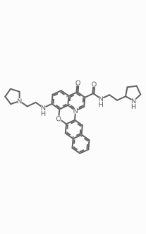 O=C(NCCC1CCCN1)c1cn2c3c(c(NCCN4CCCC4)ccc3c1=O)Oc1cc3ccccc3cc1-2